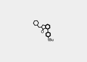 CC(C)(C)c1ccc(-c2cccc3c2C(=O)C(CC2CCCCC2)C3)cc1